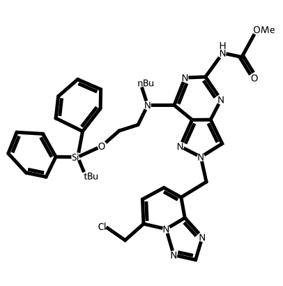 CCCCN(CCO[Si](c1ccccc1)(c1ccccc1)C(C)(C)C)c1nc(NC(=O)OC)nc2cn(Cc3ccc(CCl)n4ncnc34)nc12